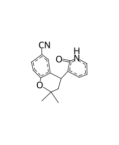 CC1(C)CC(c2ccc[nH]c2=O)c2cc(C#N)ccc2O1